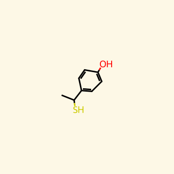 CC(S)c1ccc(O)cc1